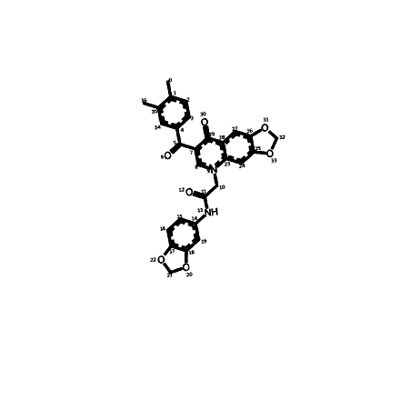 Cc1ccc(C(=O)c2cn(CC(=O)Nc3ccc4c(c3)OCO4)c3cc4c(cc3c2=O)OCO4)cc1C